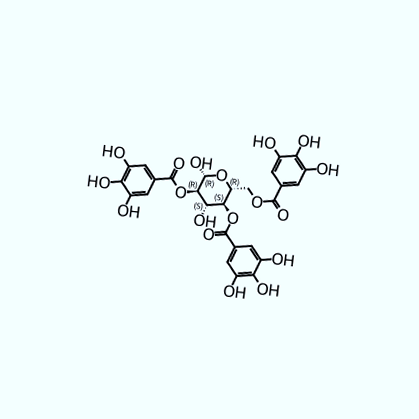 O=C(OC[C@H]1O[C@@H](O)[C@H](OC(=O)c2cc(O)c(O)c(O)c2)[C@@H](O)[C@@H]1OC(=O)c1cc(O)c(O)c(O)c1)c1cc(O)c(O)c(O)c1